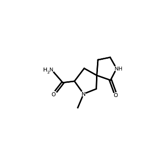 CN1CC2(CCNC2=O)CC1C(N)=O